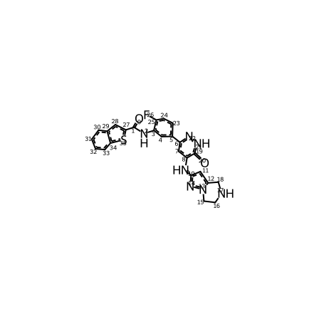 O=C(Nc1cc(-c2cc(Nc3cc4n(n3)CCNC4)c(=O)[nH]n2)ccc1F)c1cc2ccccc2s1